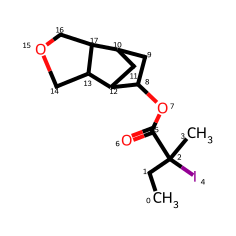 CCC(C)(I)C(=O)OC1CC2CC1C1COCC21